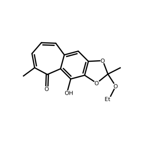 CCOC1(C)Oc2cc3cccc(C)c(=O)c3c(O)c2O1